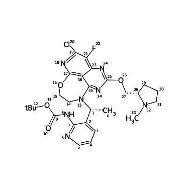 C[C@H](c1cccnc1NC(=O)OC(C)(C)C)N1CCOc2nc(Cl)c(F)c3nc(OC[C@@H]4CCCN4C)nc1c23